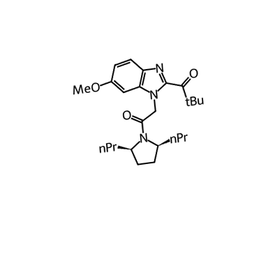 CCC[C@@H]1CC[C@H](CCC)N1C(=O)Cn1c(C(=O)C(C)(C)C)nc2ccc(OC)cc21